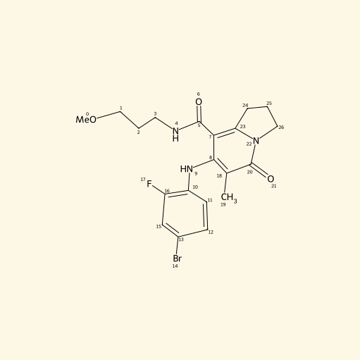 COCCCNC(=O)c1c(Nc2ccc(Br)cc2F)c(C)c(=O)n2c1CCC2